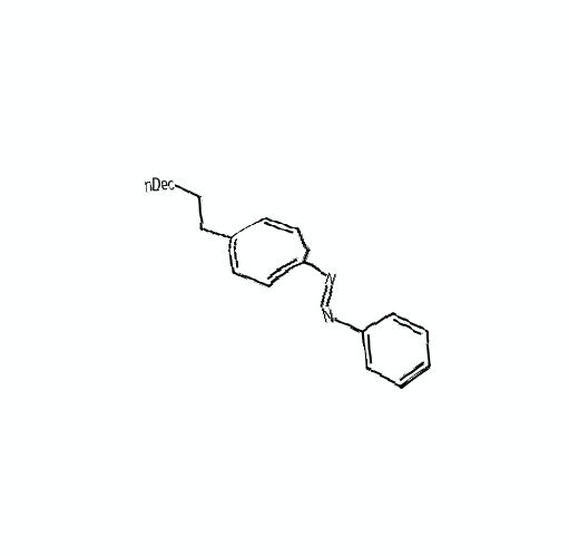 CCCCCCCCCCCCc1ccc(N=Nc2ccccc2)cc1